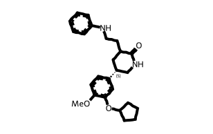 COc1ccc([C@H]2CNC(=O)C(CCNc3ccccc3)C2)cc1OC1CCCC1